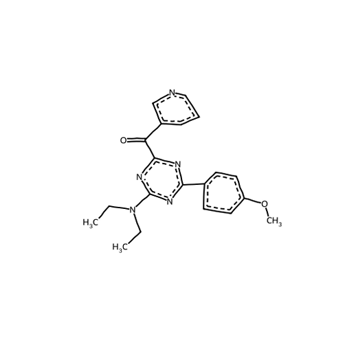 CCN(CC)c1nc(C(=O)c2cccnc2)nc(-c2ccc(OC)cc2)n1